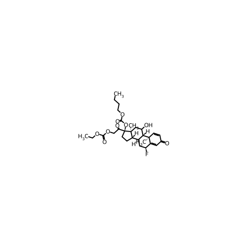 CCCCOC(=O)O[C@]1(C(=O)COC(=O)OCC)CC[C@H]2[C@@H]3C[C@H](F)C4=CC(=O)C=C[C@]4(C)[C@H]3C(O)C[C@@]21C